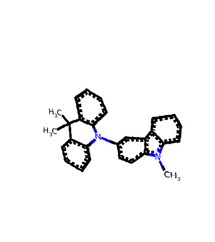 Cn1c2ccccc2c2cc(N3c4ccccc4C(C)(C)c4ccccc43)ccc21